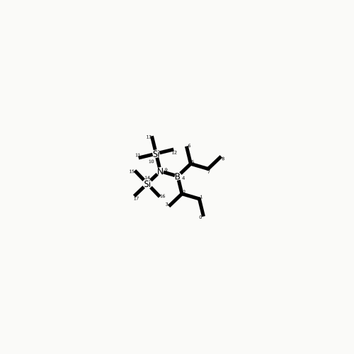 CCC(C)B(C(C)CC)N([Si](C)(C)C)[Si](C)(C)C